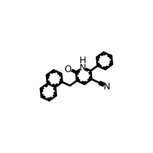 N#Cc1cc(Cc2cccc3ccccc23)c(=O)[nH]c1-c1ccccc1